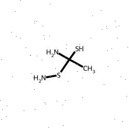 CC(N)(S)SN